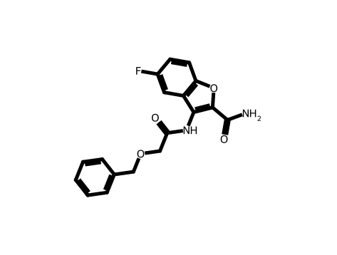 NC(=O)c1oc2ccc(F)cc2c1NC(=O)COCc1ccccc1